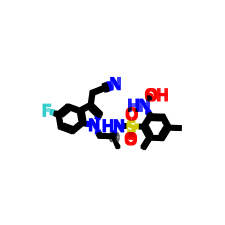 Cc1cc(C)c(S(=O)(=O)N[C@@H](C)Cn2cc(CC#N)c3cc(F)ccc32)c(NO)c1